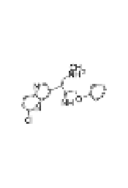 CN/C=C(\C(=N)COc1ccccc1)c1cnc2ccc(Cl)nc2c1